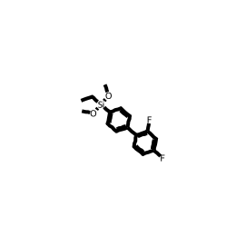 CC[Si](OC)(OC)c1ccc(-c2ccc(F)cc2F)cc1